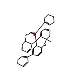 CC12CC=CC=C1C1(c3cc(C4=CCCCC4)ccc3SC3C=CC=CC31)C1C=C(C3=CCCC=C3)C=CC1S2